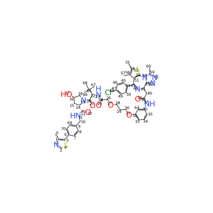 Cc1ncsc1-c1ccc(CNC(=O)[C@@H]2C[C@@H](O)CN2C(=O)[C@@H](NC(=O)COCCCOc2cccc(NC(=O)CC3N=C(c4ccc(Cl)cc4)c4c(sc(C)c4C)-n4c(C)nnc43)c2)C(C)(C)C)cc1